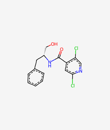 O=C(N[C@@H](CO)Cc1ccccc1)c1cc(Cl)ncc1Cl